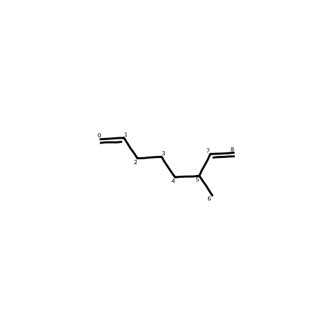 C=CCCCC(C)C=C